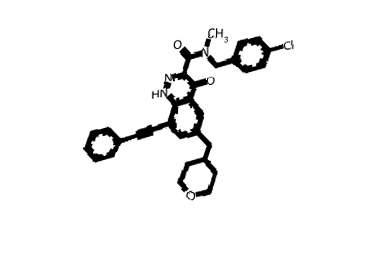 CN(Cc1ccc(Cl)cc1)C(=O)c1n[nH]c2c(C#Cc3ccccc3)cc(CC3CCOCC3)cc2c1=O